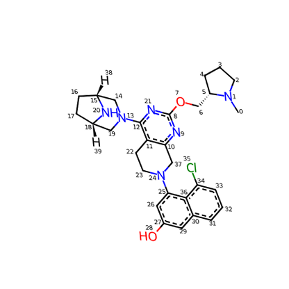 CN1CCC[C@H]1COc1nc2c(c(N3C[C@H]4CC[C@@H](C3)N4)n1)CCN(c1cc(O)cc3cccc(Cl)c13)C2